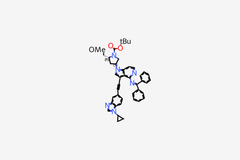 COC[C@H]1C[C@H](n2cc(C#Cc3ccc4c(c3)ncn4C3CC3)c3c(N=C(c4ccccc4)c4ccccc4)nccc32)CN1C(=O)OC(C)(C)C